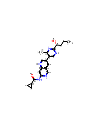 CCC[C@@H](O)c1ncc(-c2cnc3cc(NC(=O)C4CC4)ncc3c2)c(C)n1